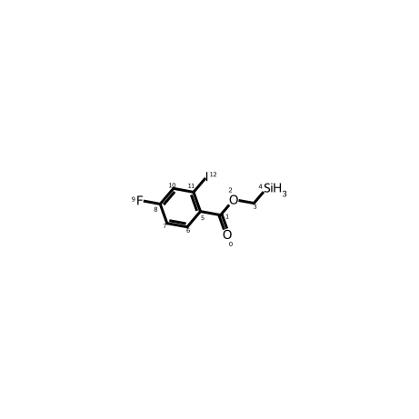 O=C(OC[SiH3])c1ccc(F)cc1I